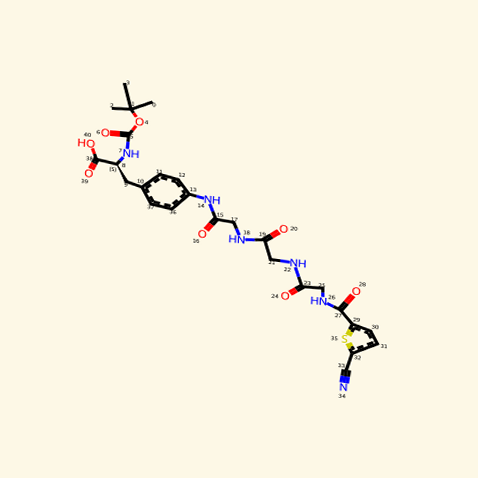 CC(C)(C)OC(=O)N[C@@H](Cc1ccc(NC(=O)CNC(=O)CNC(=O)CNC(=O)c2ccc(C#N)s2)cc1)C(=O)O